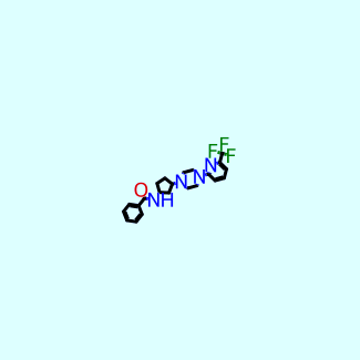 O=C(NC1CCC(N2CCN(c3cccc(C(F)(F)F)n3)CC2)C1)c1ccccc1